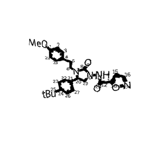 COc1ccc(CCN2C(=O)N(NC(=O)c3ccno3)CC2c2ccc(C(C)(C)C)cc2)cc1